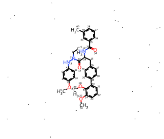 CCN(Nc1ccc(OC)cc1)C(=O)C(Cc1ccc(-c2cccc(OC)c2OC)cc1)NC(=O)c1cccc(C)c1